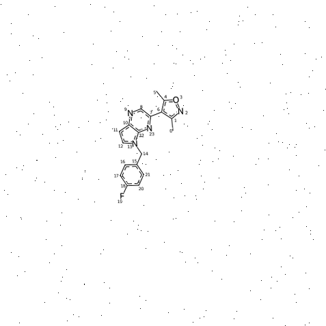 Cc1noc(C)c1-c1cnc2ccn(Cc3ccc(F)cc3)c2n1